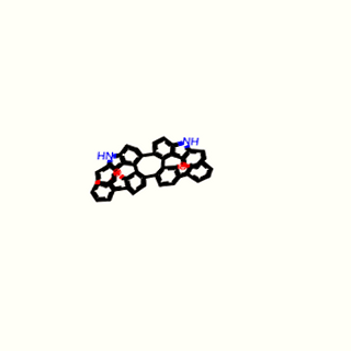 c1ccc2c(c1)[nH]c1ccc3c(c12)-c1c(ccc2c1oc1ccccc12)-c1ccc2c(oc4ccccc42)c1-c1c-3ccc2[nH]c3ccccc3c12